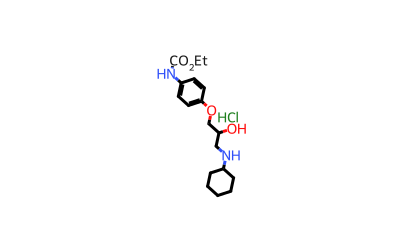 CCOC(=O)Nc1ccc(OCC(O)CNC2CCCCC2)cc1.Cl